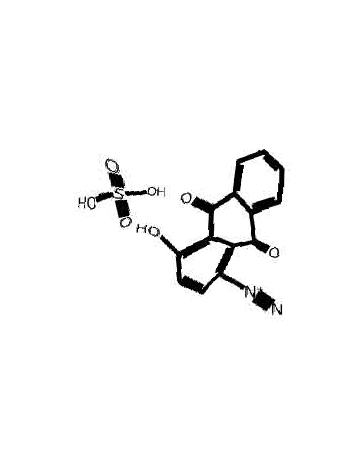 N#[N+]c1ccc(O)c2c1C(=O)c1ccccc1C2=O.O=S(=O)(O)O